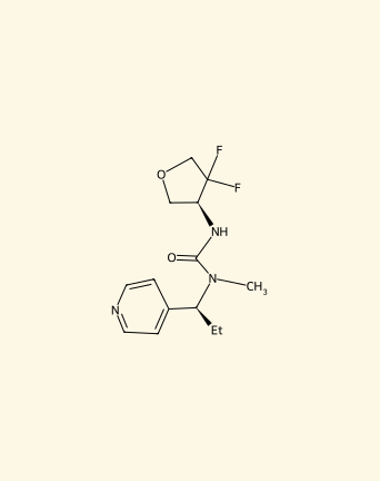 CC[C@@H](c1ccncc1)N(C)C(=O)N[C@H]1COCC1(F)F